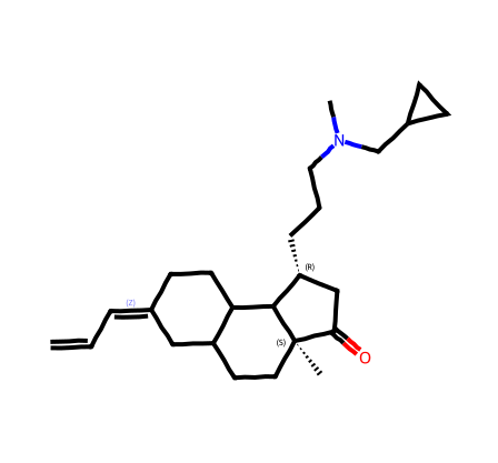 C=C/C=C1/CCC2C(CC[C@]3(C)C(=O)C[C@@H](CCCN(C)CC4CC4)C23)C1